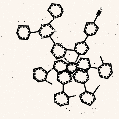 Cc1ccccc1-c1ccc2c(c1)c1cc(-c3ccccc3C)ccc1n2-c1ccc(-c2ccc(C#N)cc2)cc1-c1cc(-c2nc(-c3ccccc3)nc(-c3ccccc3)n2)ccc1-n1c2ccc(-c3ccccc3C)cc2c2cc(-c3ccccc3C)ccc21